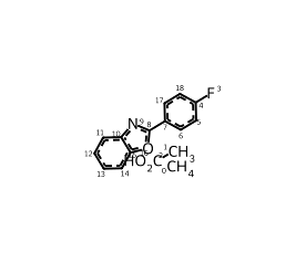 C.CC(=O)O.Fc1ccc(-c2nc3ccccc3o2)cc1